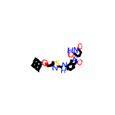 O=C1CCC(N2Cc3c(NCc4nc(COC5C6CC7CC8CC5C786)cs4)cccc3C2=O)C(=O)N1